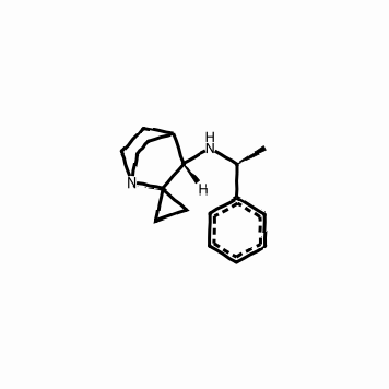 C[C@H](N[C@H]1C2CCN(CC2)C12CC2)c1ccccc1